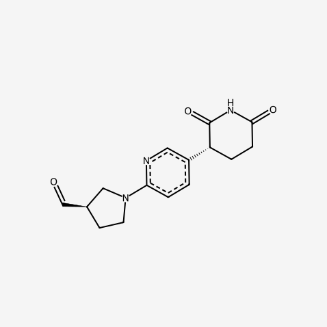 O=C[C@@H]1CCN(c2ccc([C@H]3CCC(=O)NC3=O)cn2)C1